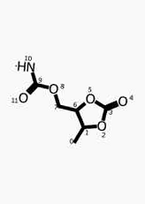 CC1OC(=O)OC1COC([NH])=O